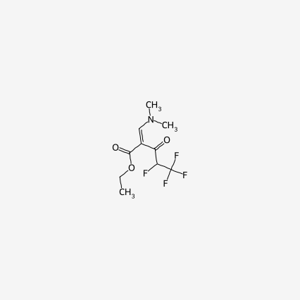 CCOC(=O)C(=CN(C)C)C(=O)C(F)C(F)(F)F